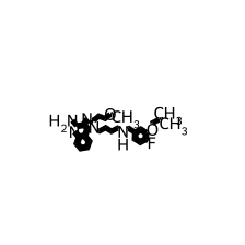 COCCc1nc2c(N)nc3ccccc3c2n1CCCCNCc1ccc(F)c(OCC(C)C)c1